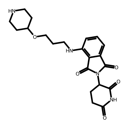 O=C1CCC(N2C(=O)c3cccc(NCCCOC4CCNCC4)c3C2=O)C(=O)N1